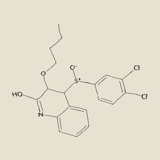 CCCCOC1C(O)=Nc2ccccc2C1[S+]([O-])c1ccc(Cl)c(Cl)c1